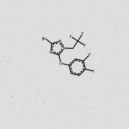 Fc1ccc(Oc2nc(Br)nn2CC(F)(F)F)cc1F